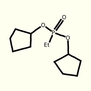 CCP(=O)(OC1CCCC1)OC1CCCC1